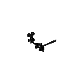 CCCCCCCCCCCCCC(=O)NC(CCC(=O)NCCCCC(C)NC(=O)OCC1c2ccccc2-c2ccccc21)C(=O)OC(C)(C)C